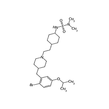 CC(C)Oc1ccc(Br)c(CC2CCN(CCC3CCC(NS(=O)(=O)N(C)C)CC3)CC2)c1